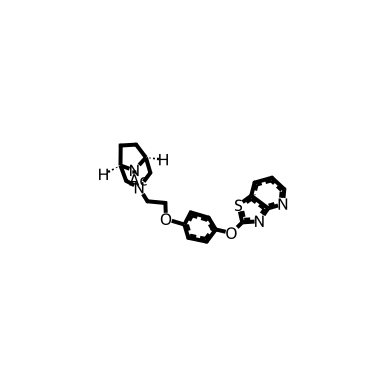 CC(=O)N1[C@@H]2CC[C@H]1CN(CCOc1ccc(Oc3nc4ncccc4s3)cc1)C2